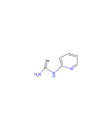 NC(=[Se])Nc1ccccn1